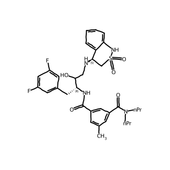 CCCN(CCC)C(=O)c1cc(C)cc(C(=O)N[C@H](Cc2cc(F)cc(F)c2)C(O)CN[C@@H]2CS(=O)(=O)Nc3ccccc32)c1